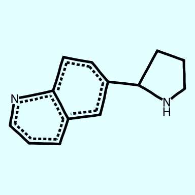 c1cnc2ccc(C3CCCN3)cc2c1